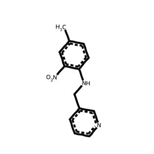 Cc1ccc(NCc2cccnc2)c([N+](=O)[O-])c1